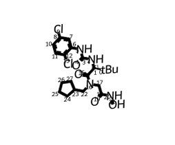 CC(C)(C)[C@H](NC(=O)Nc1cc(Cl)ccc1Cl)C(=O)N(CC(=O)NO)CC1CCCC1